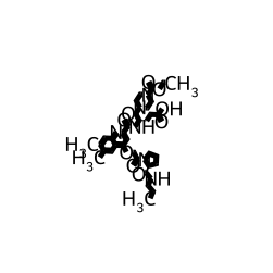 CCCNC(=O)[C@@H]1CCCN1C(=O)COc1cc(C(=O)N[C@@H](CCC(=O)O)C(=O)N2CCN(C(=O)OCC)CC2)nc2cc(C)c(C)cc12